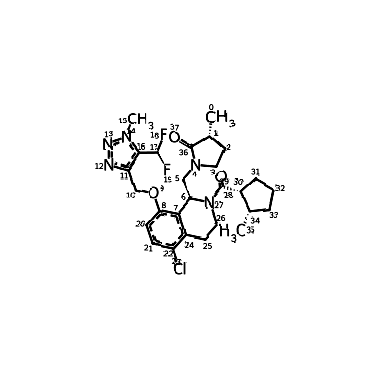 C[C@@H]1CCN(C[C@@H]2c3c(OCc4nnn(C)c4C(F)F)ccc(Cl)c3CCN2C(=O)[C@@H]2CCC[C@@H]2C)C1=O